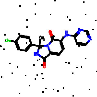 CC1(c2ccc(Cl)cc2)NC(=O)c2ccc(Nc3ccncn3)c(=O)n21